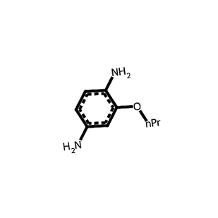 CCCOc1cc(N)ccc1N